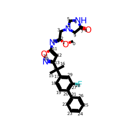 COC(CN1CNC(=O)C1)=Nc1cc(C(C)(C)c2ccc(-c3ccccc3)c(F)c2)no1